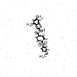 COc1ccc(S(=O)(=O)N2CCC(C(=O)Nc3nc4c(C)cc(C)cc4s3)CC2)cc1